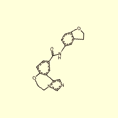 O=C(Nc1ccc2c(c1)CCO2)c1ccc2c(c1)-c1cncn1CCO2